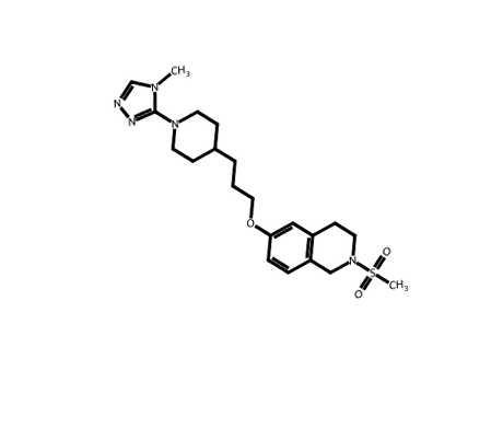 Cn1cnnc1N1CCC(CCCOc2ccc3c(c2)CCN(S(C)(=O)=O)C3)CC1